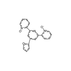 [O-][n+]1ccccc1-c1cc(-c2ccco2)cc(-c2cccc[n+]2[O-])n1